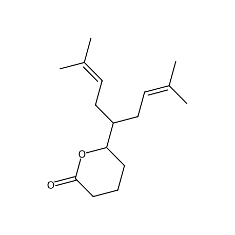 CC(C)=CCC(CC=C(C)C)C1CCCC(=O)O1